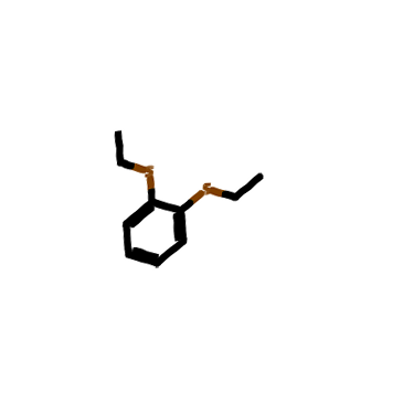 CCSc1c[c]ccc1SCC